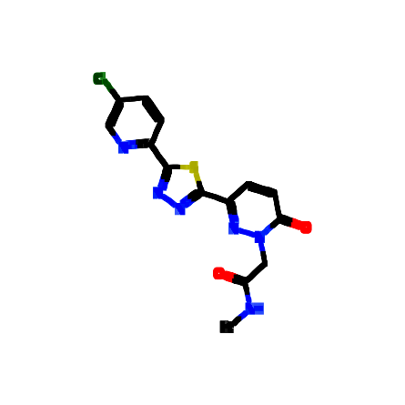 CCNC(=O)Cn1nc(-c2nnc(-c3ccc(Cl)cn3)s2)ccc1=O